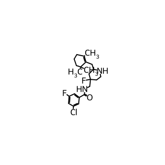 CC1=C(CC2CC(F)(CNC(=O)c3cc(F)cc(Cl)c3)CCN2)C(C)(C)CCC1